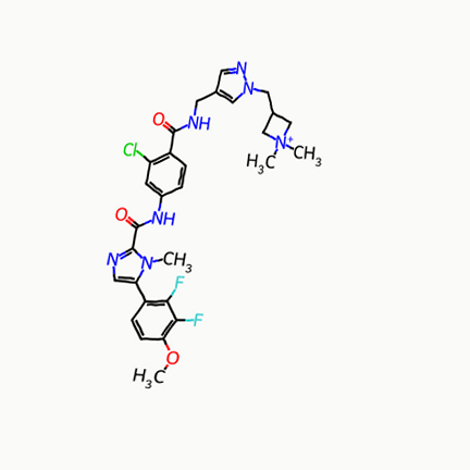 COc1ccc(-c2cnc(C(=O)Nc3ccc(C(=O)NCc4cnn(CC5C[N+](C)(C)C5)c4)c(Cl)c3)n2C)c(F)c1F